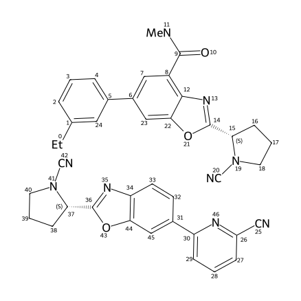 CCc1cccc(-c2cc(C(=O)NC)c3nc([C@@H]4CCCN4C#N)oc3c2)c1.N#Cc1cccc(-c2ccc3nc([C@@H]4CCCN4C#N)oc3c2)n1